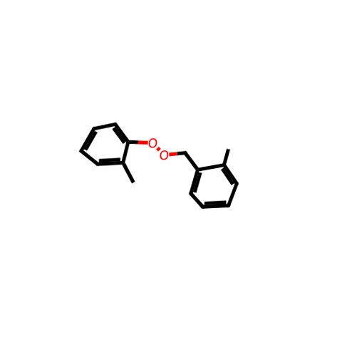 Cc1ccccc1COOc1ccccc1C